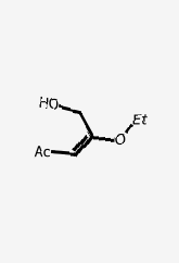 CCOC(=CC(C)=O)CO